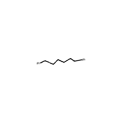 CC(C)[CH]CCCC[CH]C(C)C